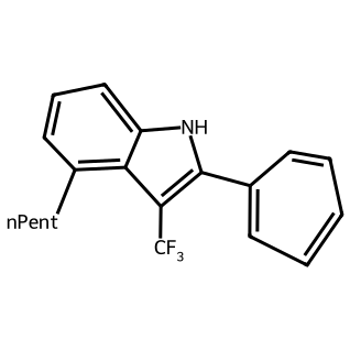 CCCCCc1cccc2[nH]c(-c3ccccc3)c(C(F)(F)F)c12